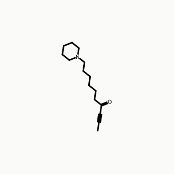 CC#CC(=O)CCCCCCN1CCCCC1